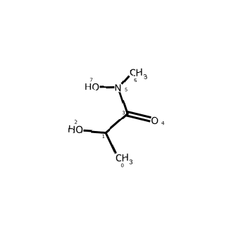 CC(O)C(=O)N(C)O